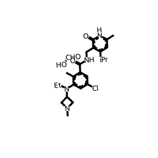 CCN(c1cc(Cl)cc(C(=O)NCc2c(C(C)C)cc(C)[nH]c2=O)c1C)C1CN(C)C1.O=CO